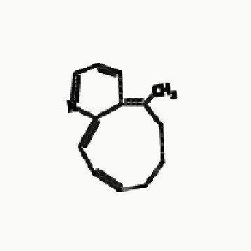 C\C1=c2/cccn/c2=C/C=C\CCC1